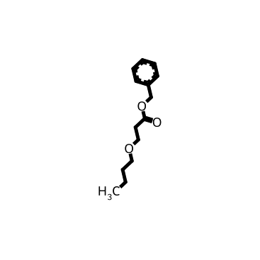 CCCCOCCC(=O)OCc1ccccc1